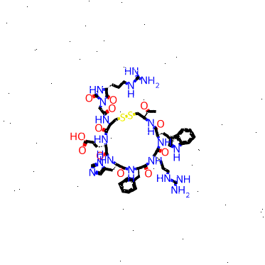 CC(=O)[C@@H]1CSSC[C@H](NC(=O)CN2C(=O)N[C@H](CCCNC(=N)N)C2=O)C(=O)N[C@@H](CCC(=O)O)C(=O)N[C@@H](Cc2cnc[nH]2)C(=O)N[C@H](Cc2ccccc2)C(=O)N[C@@H](CCCNC(=N)N)C(=O)N[C@@H](Cc2c[nH]c3ccccc23)C(=O)N1